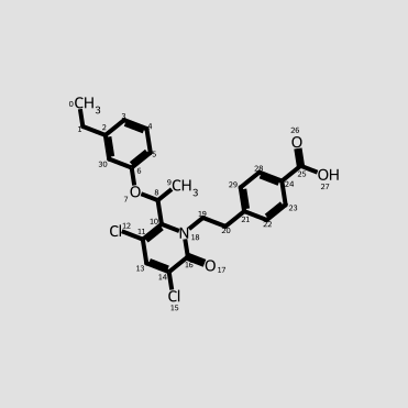 CCc1cccc(OC(C)c2c(Cl)cc(Cl)c(=O)n2CCc2ccc(C(=O)O)cc2)c1